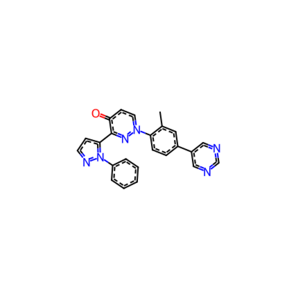 Cc1cc(-c2cncnc2)ccc1-n1ccc(=O)c(-c2ccnn2-c2ccccc2)n1